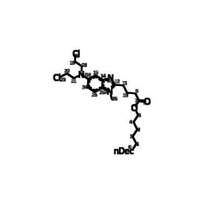 CCCCCCCCCCCCCCCOC(=O)CCCc1nc2cc(N(CCCl)CCCl)ccc2n1C